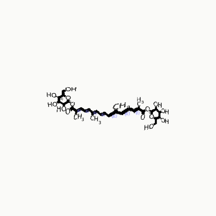 CC(/C=C/C=C(\C)C(=O)O[C@@H]1OC(CO)[C@@H](O)C(O)C1O)=C\C=C\C=C(C)\C=C\C=C(/C)C(=O)O[C@@H]1OC(CO)[C@@H](O)C(O)C1O